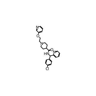 O=C(NC(c1ccc(Cl)cc1)c1ccccn1)C1CCN(CCOc2cccnc2)CC1